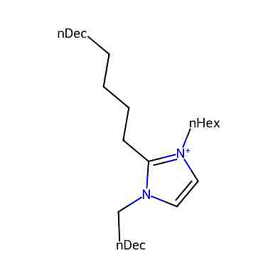 CCCCCCCCCCCCCCc1n(CCCCCCCCCCC)cc[n+]1CCCCCC